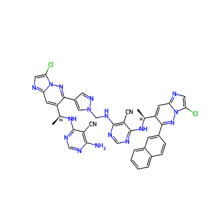 C[C@H](Nc1ncnc(N)c1C#N)c1cc2ncc(Cl)n2nc1-c1cnn(CNc2ncnc(N[C@@H](C)c3cc4ncc(Cl)n4nc3-c3ccc4ccccc4c3)c2C#N)c1